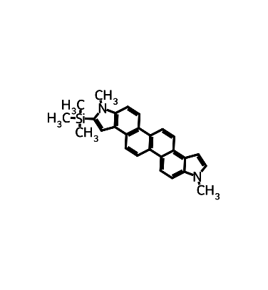 Cn1ccc2c3ccc4c(ccc5c4ccc4c5cc([Si](C)(C)C)n4C)c3ccc21